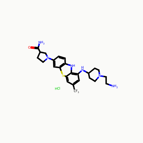 Cl.NCCN1CCC(Nc2cc(C(F)(F)F)cc3c2Nc2ccc(N4CCC(C(N)=O)C4)cc2S3)CC1